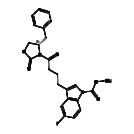 CC(C)(C)OC(=O)n1cc(CCCC(=O)N2C(=O)OC[C@@H]2Cc2ccccc2)c2cc(F)ccc21